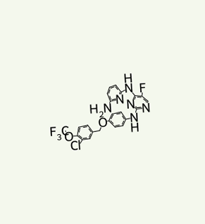 Nc1cccc(Nc2nc(Nc3ccc(OCc4ccc(OC(F)(F)F)c(Cl)c4)cc3)ncc2F)n1